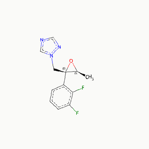 C[C@@H]1O[C@@]1(Cn1cncn1)c1cccc(F)c1F